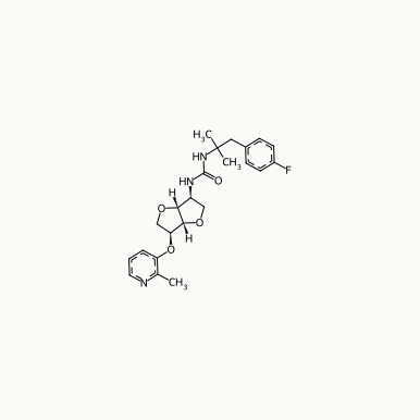 Cc1ncccc1O[C@H]1CO[C@H]2[C@@H]1OC[C@@H]2NC(=O)NC(C)(C)Cc1ccc(F)cc1